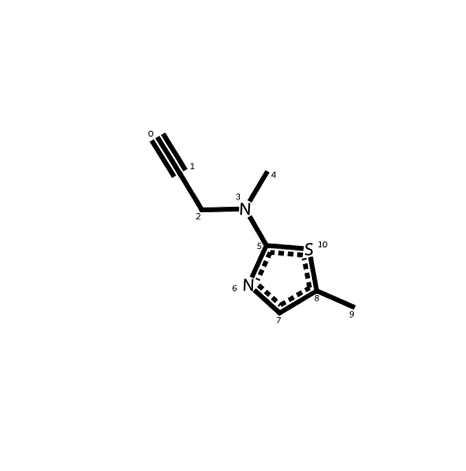 C#CCN(C)c1ncc(C)s1